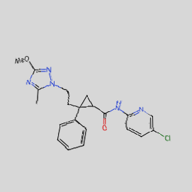 COc1nc(C)n(CCC2(c3ccccc3)CC2C(=O)Nc2ccc(Cl)cn2)n1